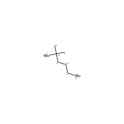 CC(C)(C)CSCC(C)(C)C(C)(C)C